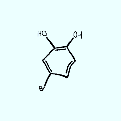 Oc1[c]cc(Br)cc1O